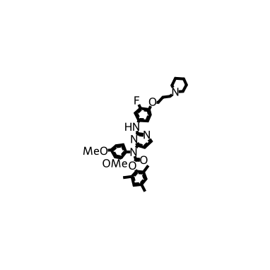 COc1ccc(N(C(=O)Oc2c(C)cc(C)cc2C)c2ccnc(Nc3ccc(OCCCN4CCCCC4)c(F)c3)n2)c(OC)c1